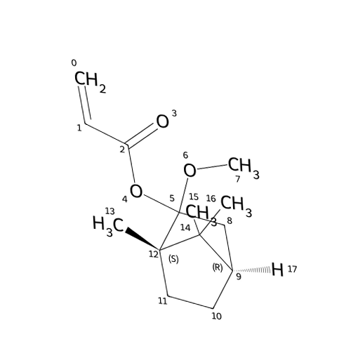 C=CC(=O)OC1(OC)C[C@H]2CC[C@@]1(C)C2(C)C